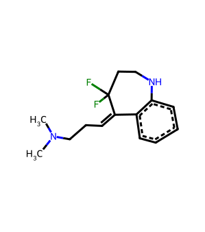 CN(C)CCC=C1c2ccccc2NCCC1(F)F